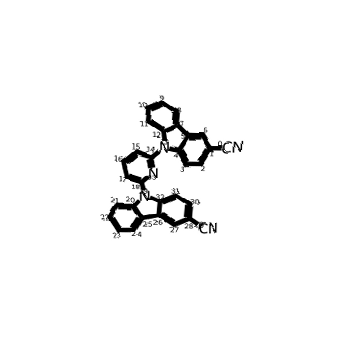 N#Cc1ccc2c(c1)c1ccccc1n2-c1cccc(-n2c3ccccc3c3cc(C#N)ccc32)n1